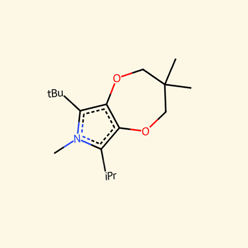 CC(C)c1c2c(c(C(C)(C)C)n1C)OCC(C)(C)CO2